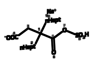 CCCCCCCC(CCCCCCC)(CC(=O)[O-])C(=O)OS(=O)(=O)O.[Na+]